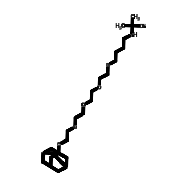 CC(C)(C#N)NCCCCOCCOCCOCCOCCOC12CC3CC(CC(C3)C1)C2